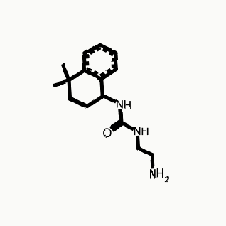 CC1(C)CCC(NC(=O)NCCN)c2ccccc21